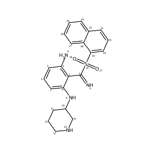 N=C(c1c(N)cccc1NC1CCCNC1)S(=O)(=O)c1cccc2ccccc12